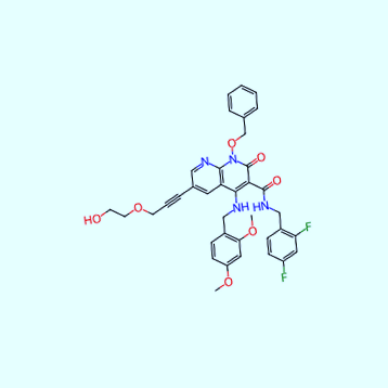 COc1ccc(CNc2c(C(=O)NCc3ccc(F)cc3F)c(=O)n(OCc3ccccc3)c3ncc(C#CCOCCO)cc23)c(OC)c1